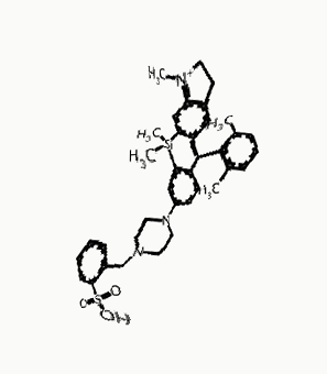 Cc1cccc(C)c1C1=c2cc3c(cc2[Si](C)(C)c2cc(N4CCN(Cc5ccccc5S(=O)(=O)O)CC4)ccc21)=[N+](C)CC3